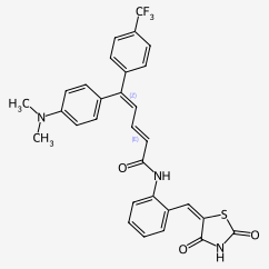 CN(C)c1ccc(/C(=C\C=C\C(=O)Nc2ccccc2C=C2SC(=O)NC2=O)c2ccc(C(F)(F)F)cc2)cc1